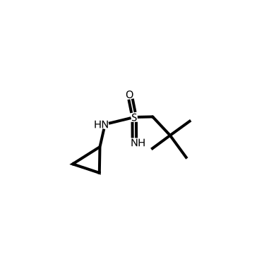 CC(C)(C)CS(=N)(=O)NC1CC1